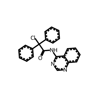 O=C(Nc1ncnc2ccccc12)C(Cl)(c1ccccc1)c1ccccc1